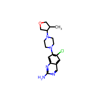 CC1COCC1N1CCN(c2cc3nc(N)ncc3cc2Cl)CC1